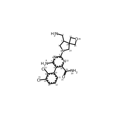 NCC1CN(c2nc(N)c(-c3cccc(Cl)c3Cl)c(C(N)=O)n2)CC12COC2